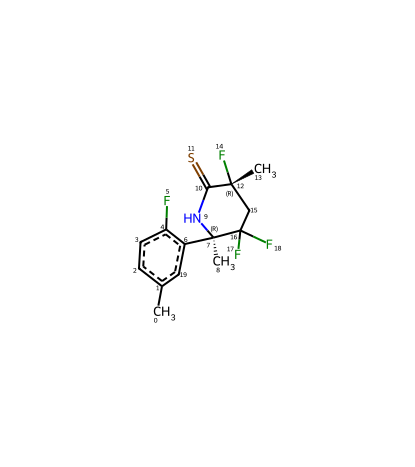 Cc1ccc(F)c([C@@]2(C)NC(=S)[C@](C)(F)CC2(F)F)c1